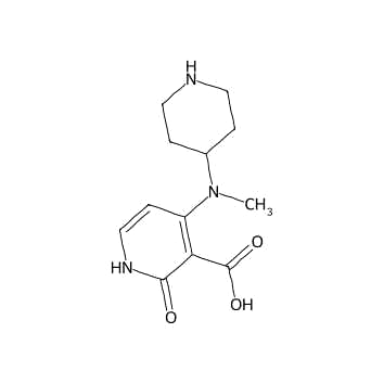 CN(c1cc[nH]c(=O)c1C(=O)O)C1CCNCC1